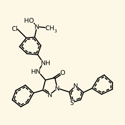 CN(O)c1cc(NNC2C(=O)N(c3nc(-c4ccccc4)cs3)N=C2c2ccccc2)ccc1Cl